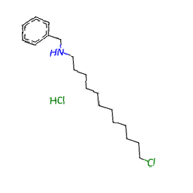 Cl.ClCCCCCCCCCCCCNCc1ccccc1